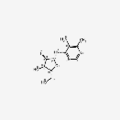 Cc1ncnc(N[C@@H]2O[C@H](CO)[C@@H](O)[C@H]2F)c1N